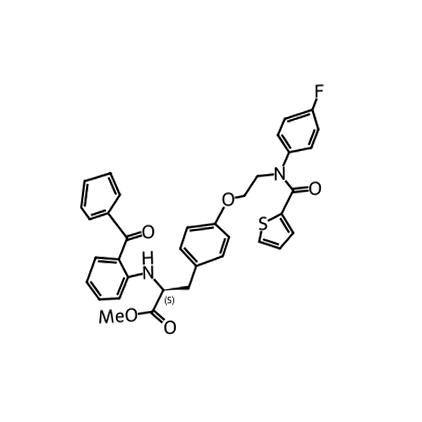 COC(=O)[C@H](Cc1ccc(OCCN(C(=O)c2cccs2)c2ccc(F)cc2)cc1)Nc1ccccc1C(=O)c1ccccc1